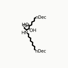 CCCCCCCCCCCCCCCCCCNC(CO)C(O)C(O)CCCCCCCCCCCCCC